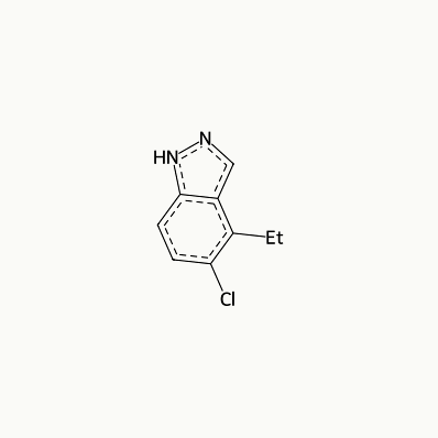 CCc1c(Cl)ccc2[nH]ncc12